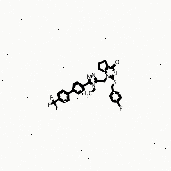 CCn1c(Cn2c(SCc3ccc(F)cc3)nc(=O)c3c2CCC3)nnc1-c1ccc(-c2ccc(C(F)(F)F)cc2)cc1